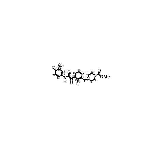 COC(=O)N1CCN(Cc2cccc(NC(=O)NC3=CN(O)C(C)C=C3)c2F)CC1